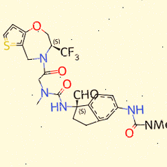 CNC(=O)Nc1ccc2c(c1)CC[C@]2(C=O)NC(=O)N(C)CC(=O)N1Cc2sccc2OC[C@H]1C(F)(F)F